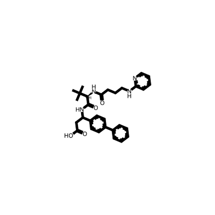 CC(C)(C)[C@@H](NC(=O)CCCNc1ccccn1)C(=O)NC(CC(=O)O)c1ccc(-c2ccccc2)cc1